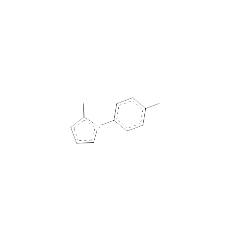 CC(C)(C)c1ccc(-n2cccc2C=O)cc1